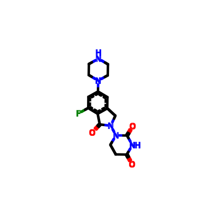 O=C1CCN(N2Cc3cc(N4CCNCC4)cc(F)c3C2=O)C(=O)N1